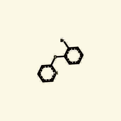 Brc1ccccc1Oc1ccc[c]n1